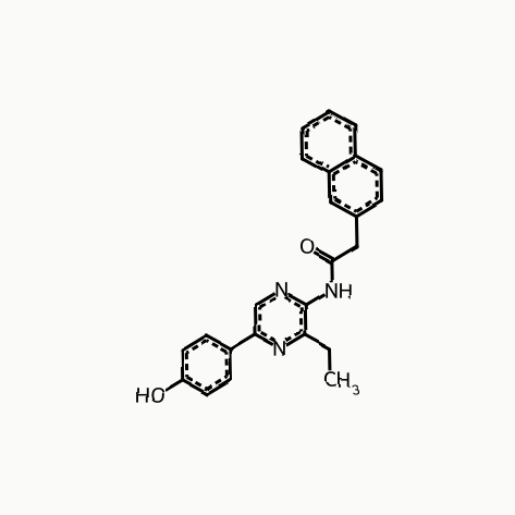 CCc1nc(-c2ccc(O)cc2)cnc1NC(=O)Cc1ccc2ccccc2c1